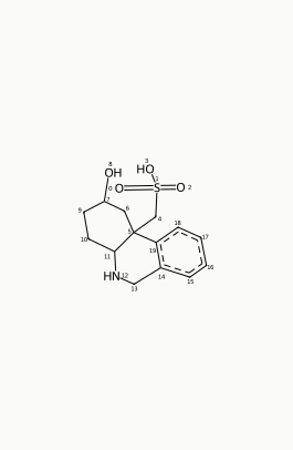 O=S(=O)(O)CC12CC(O)CCC1NCc1ccccc12